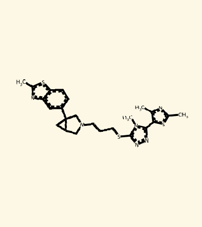 Cc1nc(C)c(-c2nnc(SCCCN3CC4CC4(c4ccc5sc(C)nc5c4)C3)n2C)s1